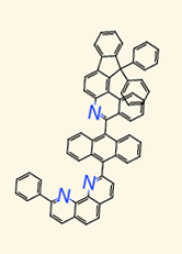 c1ccc(-c2ccc3ccc4ccc(-c5c6ccccc6c(-c6nc7ccc8c(c7c7ccccc67)C(c6ccccc6)(c6ccccc6)c6ccccc6-8)c6ccccc56)nc4c3n2)cc1